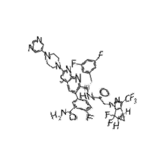 NC(=O)c1cc(-c2cc3sc(N4CCN(c5cncnc5)CC4)nc3nc2[C@H](Cc2cc(F)cc(F)c2)NC(=O)Cn2nc(C(F)(F)F)c3c2C(F)(F)[C@@H]2C[C@H]32)ccc1F